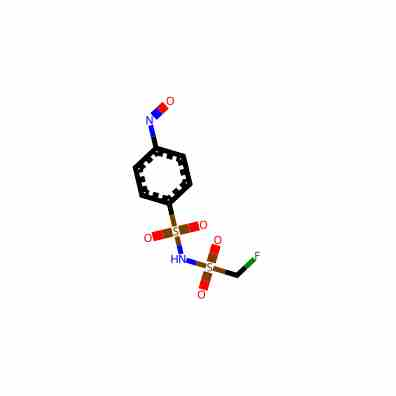 O=Nc1ccc(S(=O)(=O)NS(=O)(=O)CF)cc1